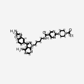 CCC(=O)N1CCN(c2ncc(C(=O)NCCCCn3nc(-c4ccc5oc(N)nc5c4)c4c(N)ncnc43)cn2)CC1